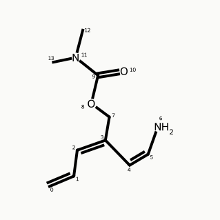 C=C/C=C(\C=C/N)COC(=O)N(C)C